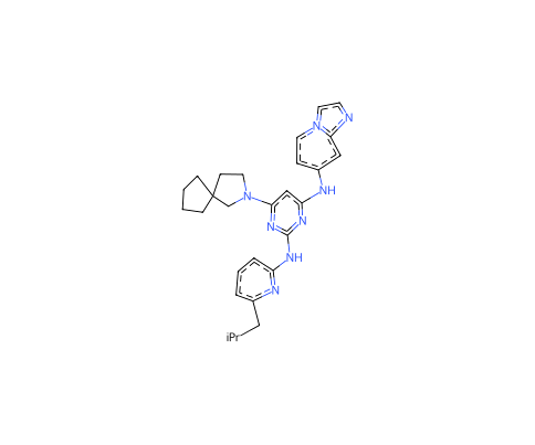 CC(C)Cc1cccc(Nc2nc(Nc3ccn4ccnc4c3)cc(N3CCC4(CCCC4)C3)n2)n1